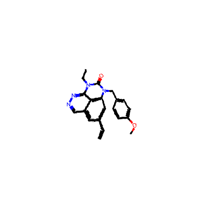 C=Cc1cc2c3c(nncc3c1)N(CC)C(=O)N2Cc1ccc(OC)cc1